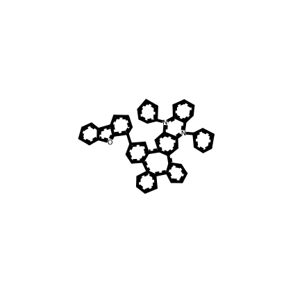 c1ccc(-n2c3ccccc3n(-c3ccccc3)c3cc4c5cc(-c6cccc7c6oc6ccccc67)ccc5c5ccccc5c5ccccc5c4cc32)cc1